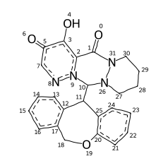 O=C1c2c(O)c(=O)cnn2C(C2c3ccccc3COc3ccccc32)N2CCCCN12